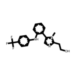 Cn1c(-c2ccccc2Nc2ccc(C(F)(F)F)cc2)cnc1CCO